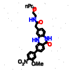 CCCOCCNC(=O)Cc1ccc2c(c1)Nc1cc(-c3ccc([N+](=O)[O-])c(OC)c3)ccc1C(=O)N2